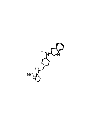 CCN(c1cnc2ccccc2c1)C1CCN(CC(=O)N2CCC[C@H]2C#N)CC1